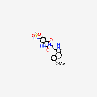 COc1cccc2c1CCC1CNC(CCn3c(=O)[nH]c4cc(NS(C)(=O)=O)ccc4c3=O)C21